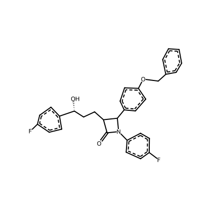 O=C1C(CC[C@@H](O)c2ccc(F)cc2)C(c2ccc(OCc3ccccc3)cc2)N1c1ccc(F)cc1